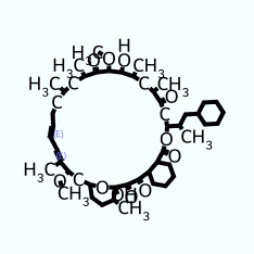 COC1CC2CCC(C)C(O)(O2)C(=O)C(=O)C2CCCCC2C(=O)OC(C(C)CC2CCCCC2)CC(=O)C(C)CC(C)C(O)C(OC)C(=O)C(C)CC(C)CC/C=C/C=C/1C